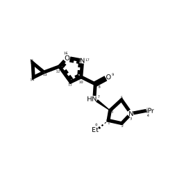 CC[C@H]1CN(C(C)C)C[C@@H]1NC(=O)c1cc(C2CC2)on1